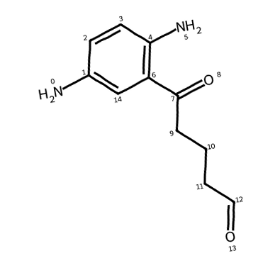 Nc1ccc(N)c(C(=O)CCCC=O)c1